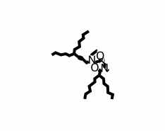 CCCCCCC(C#CCN1CCO[C@@H](CN(C)C(=O)C(CCCCCC)CCCCCC)C1)CCCCC